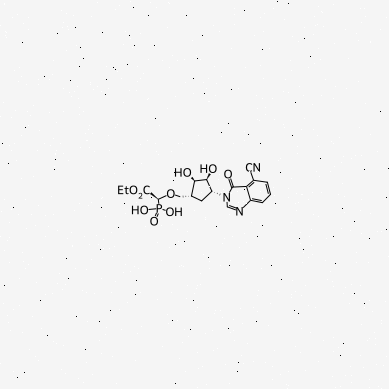 CCOC(=O)[C@@H](OC[C@H]1C[C@@H](n2cnc3cccc(C#N)c3c2=O)[C@H](O)[C@@H]1O)P(=O)(O)O